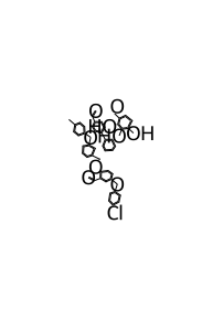 Cc1ccc(Oc2cccc(C=O)c2)cc1.O=Cc1ccc(-c2ccccc2)cc1.O=Cc1ccc(O)c(O)c1O.O=Cc1cccc(Oc2ccc(Cl)cc2)c1